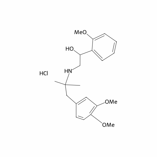 COc1ccc(CC(C)(C)NCC(O)c2ccccc2OC)cc1OC.Cl